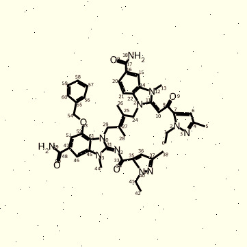 CCn1nc(C)cc1C(=O)/C=C1\N(C)c2cc(C(N)=O)ccc2N1C/C(C)=C(\C)Cn1/c(=N/C(=O)c2cc(C)nn2CC)n(C)c2cc(C(N)=O)cc(OCc3ccccc3)c21